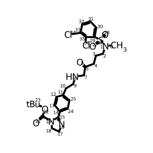 CN(CCCC(=O)CNCCc1ccc(C2=NCCN2C(=O)OC(C)(C)C)cc1)S(=O)(=O)c1cccc(Cl)c1Cl